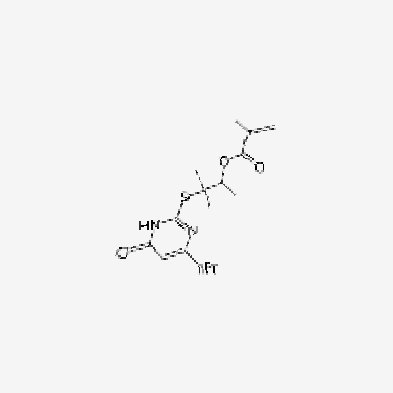 C=C(C)C(=O)OC(C)C(C)(C)Sc1nc(CCC)cc(=O)[nH]1